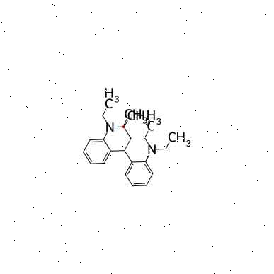 CCCC(c1ccccc1N(CC)CC)c1ccccc1N(CC)CC